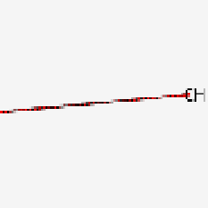 CC#CC#CC#CC#CC#CC#CC#CC#CC#CC#CC#CC#CC#CC#CC#CC#CC#CC#CC#CC#CC#CC#CC#CC#CC#CC#CC#CC#CC#CC#CC#CC#CC#CC#CC#CC#CC#CC#CC#CC#CC#CC#CC#CC#CC#CC#CI